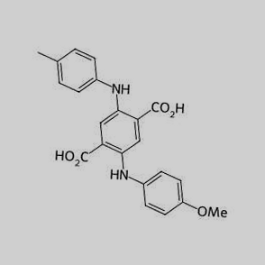 COc1ccc(Nc2cc(C(=O)O)c(Nc3ccc(C)cc3)cc2C(=O)O)cc1